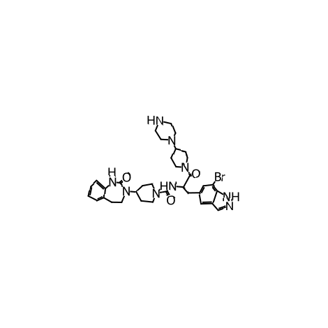 O=C(NC(Cc1cc(Br)c2[nH]ncc2c1)C(=O)N1CCC(N2CCNCC2)CC1)N1CCC(N2CCc3ccccc3NC2=O)CC1